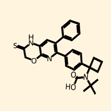 CC(C)(C)N(C(=O)O)C1(c2ccc(-c3nc4c(cc3-c3ccccc3)NC(=S)CO4)cc2)CCC1